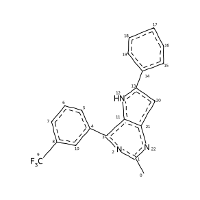 Cc1nc(-c2cccc(C(F)(F)F)c2)c2[nH]c(-c3ccccc3)cc2n1